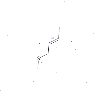 [CH2]SC/C=C/C